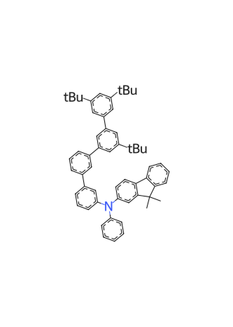 CC(C)(C)c1cc(-c2cccc(-c3cccc(N(c4ccccc4)c4ccc5c(c4)C(C)(C)c4ccccc4-5)c3)c2)cc(-c2cc(C(C)(C)C)cc(C(C)(C)C)c2)c1